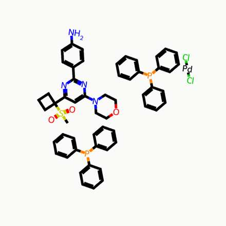 CS(=O)(=O)C1(c2cc(N3CCOCC3)nc(-c3ccc(N)cc3)n2)CCC1.[Cl][Pd][Cl].c1ccc(P(c2ccccc2)c2ccccc2)cc1.c1ccc(P(c2ccccc2)c2ccccc2)cc1